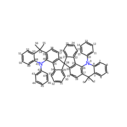 CC1(C)c2ccccc2N(c2ccccc2)c2c1ccc1c2-c2ccccc2C12c1ccccc1-c1c2ccc2c1N(c1ccccc1)c1ccccc1C2(C)C